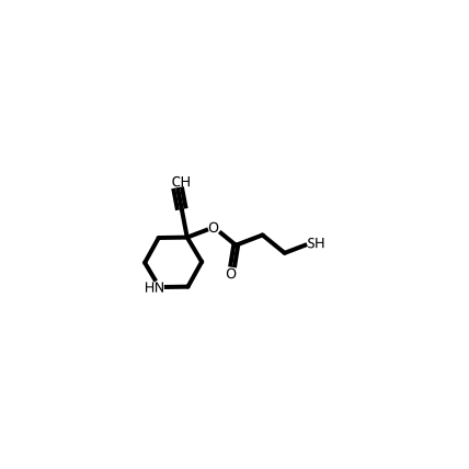 C#CC1(OC(=O)CCS)CCNCC1